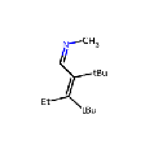 CC/C(=C(\C=N/C)C(C)(C)C)C(C)(C)C